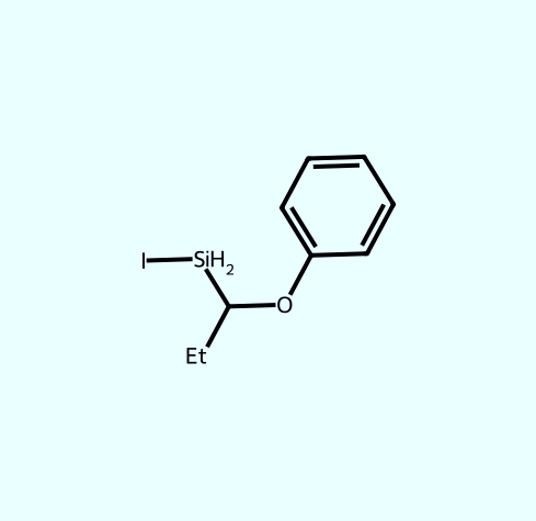 CCC(Oc1ccccc1)[SiH2]I